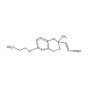 CCCCCCCC=CC1(C)CCc2cc(OCCC(=O)O)ccc2O1